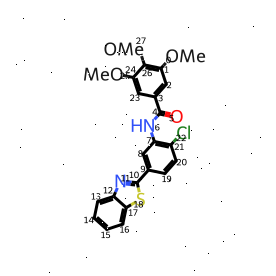 COc1cc(C(=O)Nc2cc(-c3nc4ccccc4s3)ccc2Cl)cc(OC)c1OC